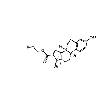 C[C@]12CC[C@@H]3c4ccc(O)cc4CC[C@H]3[C@@H]1C[C@H](C(=O)OCCF)[C@@H]2O